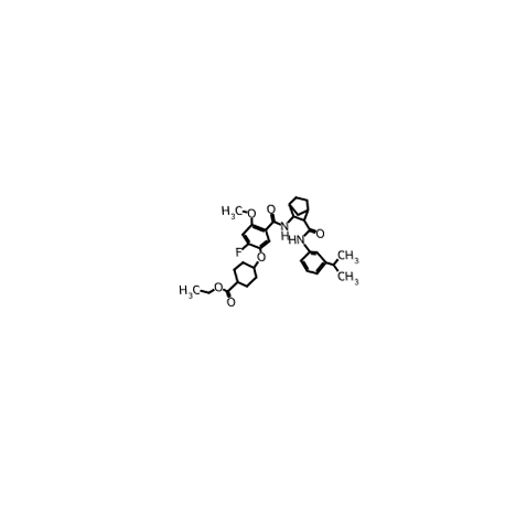 CCOC(=O)C1CCC(Oc2cc(C(=O)NC3C4CCC(C4)C3C(=O)Nc3cccc(C(C)C)c3)c(OC)cc2F)CC1